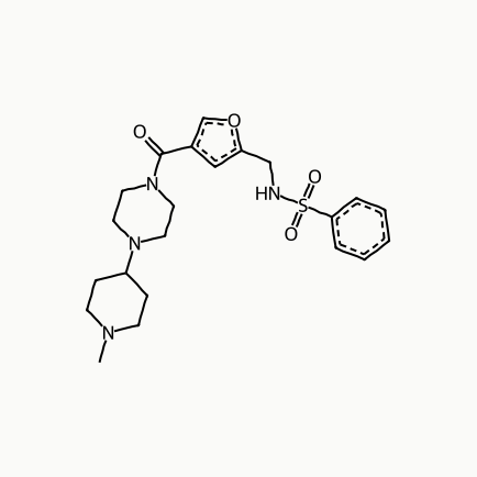 CN1CCC(N2CCN(C(=O)c3coc(CNS(=O)(=O)c4ccccc4)c3)CC2)CC1